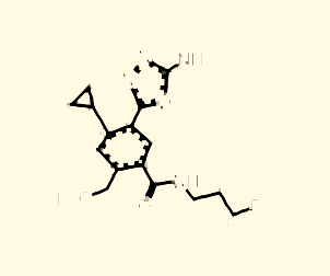 CCc1cc(C2CC2)c(-c2nnc(N)o2)cc1C(=O)NCCCF